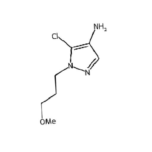 COCCCn1ncc(N)c1Cl